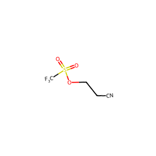 N#CCCOS(=O)(=O)C(F)(F)F